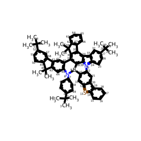 CC(C)(C)c1ccc(N2B3c4cc5sc6ccccc6c5cc4-n4c5ccc(C(C)(C)C)cc5c5c6c(c(c3c54)-c3cc4c(cc32)C(C)(C)c2ccc(C(C)(C)C)cc2-4)C(C)(C)c2ccccc2-6)cc1